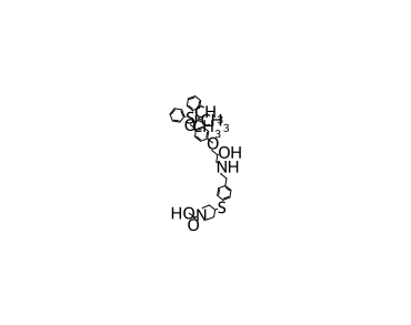 CC(C)(C)[Si](Oc1ccc(OC[C@@H](O)CNCCc2ccc(SC3CCN(C(=O)O)CC3)cc2)cc1)(c1ccccc1)c1ccccc1